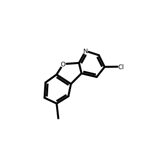 Cc1ccc2oc3ncc(Cl)cc3c2c1